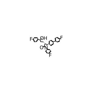 O=C1[C@H](CC[C@H](O)c2ccc(F)cc2)[C@@H](c2ccc(-c3ccc(F)cc3)cc2)N1c1ccc(F)cc1